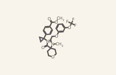 COC(=O)c1ccc(C2(NC(=O)C3(N(C)CCOc4cccc(OC(F)(F)F)c4)CCOCC3)CC2)cc1